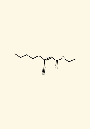 CCCCC/C(C#N)=C/C(=O)OCC